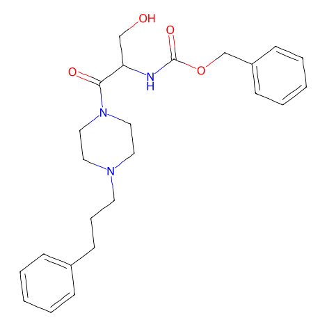 O=C(NC(CO)C(=O)N1CCN(CCCc2ccccc2)CC1)OCc1ccccc1